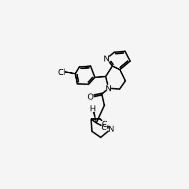 O=C(C[C@@H]1CN2CCC1CC2)N1CCc2cccnc2C1c1ccc(Cl)cc1